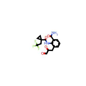 NC(=O)c1cccc(CC(=O)C=O)c1NC(=O)C1(CC(F)(F)F)CC1